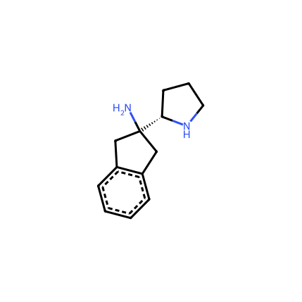 NC1([C@@H]2CCCN2)Cc2ccccc2C1